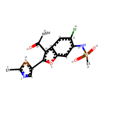 CCc1ncc(-c2oc3cc(NS(=O)(=O)CC)c(Br)cc3c2C(=O)NC)s1